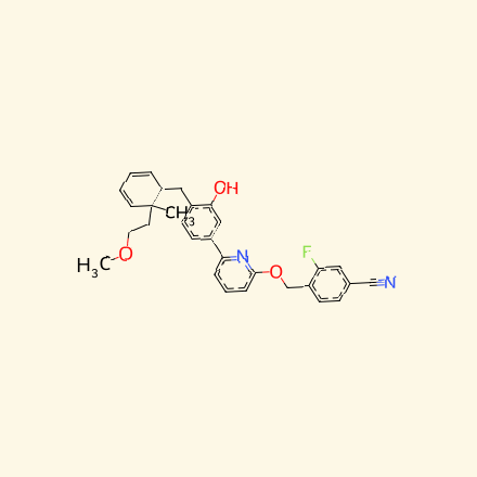 COCCC1(C)C=CC=CC1Cc1ccc(-c2cccc(OCc3ccc(C#N)cc3F)n2)cc1O